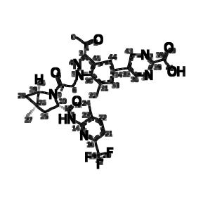 CC(=O)c1nn(CC(=O)N2[C@H](C(=O)Nc3nc(C(F)(F)F)ccc3C)C[C@@]3(C)C[C@@H]23)c2c(C)cc(-c3cnc(C(=O)O)nc3)cc12